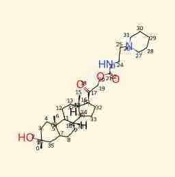 C[C@@]1(O)CC[C@@]2(C)C(CC[C@@H]3C2CC[C@]2(C)[C@@H](C(=O)COC(=O)NCCN4CCCCC4)CC[C@@H]32)C1